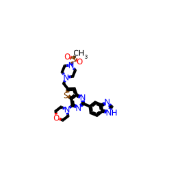 CS(=O)(=O)N1CCN(Cc2cc3nc(-c4ccc5[nH]cnc5c4)nc(N4CCOCC4)c3s2)CC1